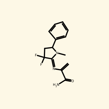 C=C(/N=C1\N(C)C(c2ccccc2)CC1(F)F)C(N)=O